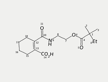 CCC(C)(C)C(=O)OCCNC(=O)C1=C(C(=O)O)CCCC1